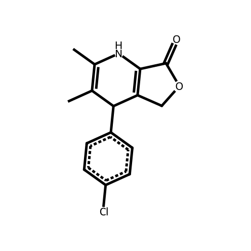 CC1=C(C)C(c2ccc(Cl)cc2)C2=C(N1)C(=O)OC2